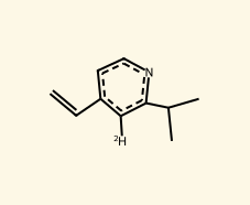 [2H]c1c(C=C)ccnc1C(C)C